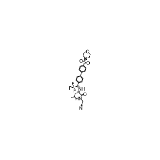 CC(C)C[C@H](N[C@@H](c1ccc(-c2ccc(S(=O)(=O)N3CCOCC3)cc2)cc1)C(F)(F)F)C(=O)NCC#N